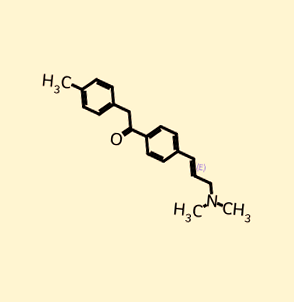 Cc1ccc(CC(=O)c2ccc(/C=C/CN(C)C)cc2)cc1